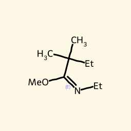 CC/N=C(/OC)C(C)(C)CC